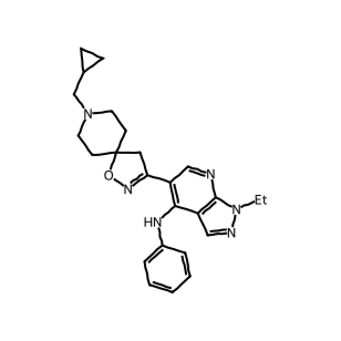 CCn1ncc2c(Nc3ccccc3)c(C3=NOC4(CCN(CC5CC5)CC4)C3)cnc21